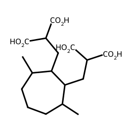 CC1CCCC(C)C(CC(C(=O)O)C(=O)O)C1CC(C(=O)O)C(=O)O